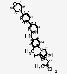 Cc1cc(Nc2nccc(-c3ccc(N4CCOCC4)nc3)n2)ccc1N1C[C@@H]2C[C@H]1CN2CC(C)C